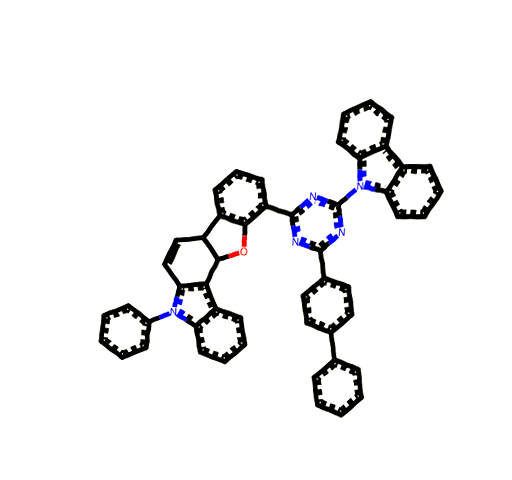 C1=CC2c3cccc(-c4nc(-c5ccc(-c6ccccc6)cc5)nc(-n5c6ccccc6c6ccccc65)n4)c3OC2c2c1n(-c1ccccc1)c1ccccc21